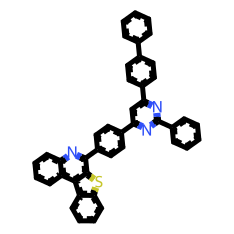 c1ccc(-c2ccc(-c3cc(-c4ccc(-c5nc6ccccc6c6c5sc5ccccc56)cc4)nc(-c4ccccc4)n3)cc2)cc1